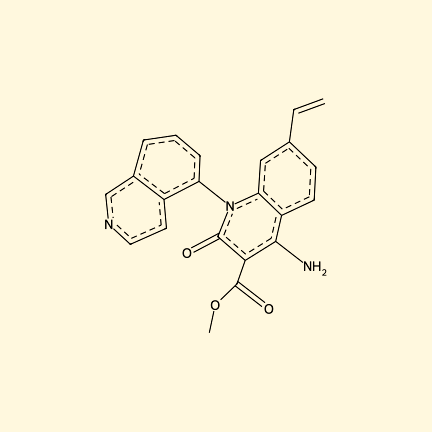 C=Cc1ccc2c(N)c(C(=O)OC)c(=O)n(-c3cccc4cnccc34)c2c1